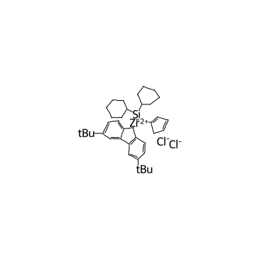 CC(C)(C)c1ccc2c(c1)-c1cc(C(C)(C)C)ccc1[CH]2[Zr+2]([C]1=CC=CC1)=[Si](C1CCCCC1)C1CCCCC1.[Cl-].[Cl-]